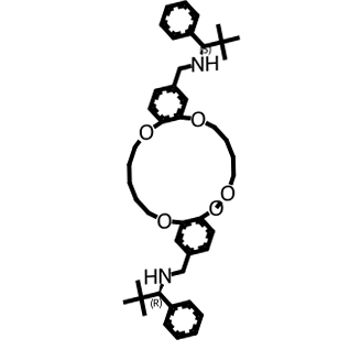 CC(C)(C)[C@H](NCc1ccc2c(c1)OCCCCOOc1ccc(CN[C@@H](c3ccccc3)C(C)(C)C)cc1OCCCCCO2)c1ccccc1